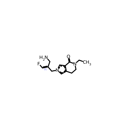 CCN1CCc2cn(C/C(=C/F)CN)cc2C1=O